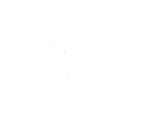 C=CC(F)(F)C(F)(F)S(=O)(=O)ON1C(=C)C2C3CC(C2C1=O)C1C2CCC(C2)C31